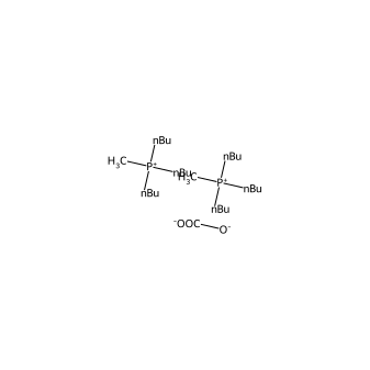 CCCC[P+](C)(CCCC)CCCC.CCCC[P+](C)(CCCC)CCCC.O=C([O-])[O-]